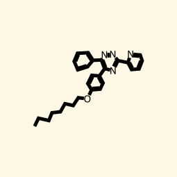 CCCCCCCCOc1ccc(-c2nc(-c3ccccn3)nnc2-c2ccccc2)cc1